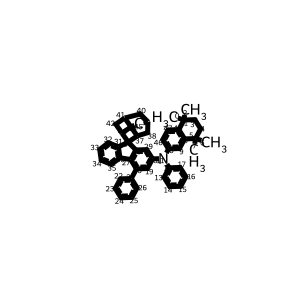 CC1(C)CCC(C)(C)c2cc(N(c3ccccc3)c3cc(-c4ccccc4)c4c(c3)C3(c5ccccc5-4)C4CC5CC6CC3C64C5)ccc21